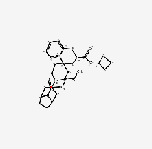 CCCOC(=O)N1C2CCC1CC(N1CCC3(CC1)CN(C(=O)OC1CCC1)Cc1ccccc13)C2